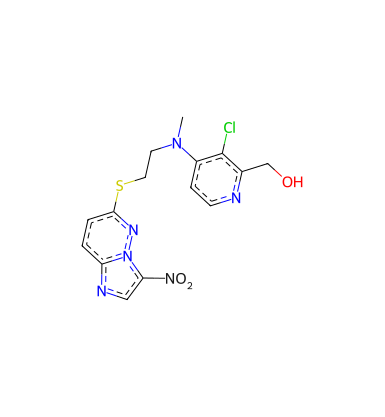 CN(CCSc1ccc2ncc([N+](=O)[O-])n2n1)c1ccnc(CO)c1Cl